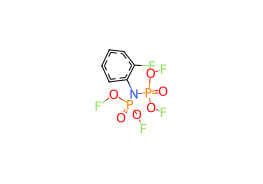 O=P(OF)(OF)N(c1ccccc1F)P(=O)(OF)OF